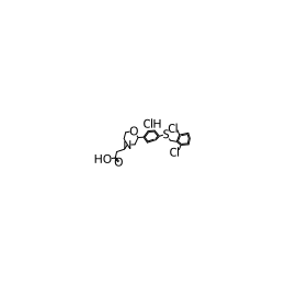 Cl.O=C(O)CCN1CCOC(c2ccc(SCc3c(Cl)cccc3Cl)cc2)C1